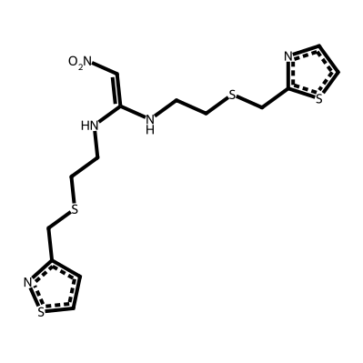 O=[N+]([O-])/C=C(\NCCSCc1ccsn1)NCCSCc1nccs1